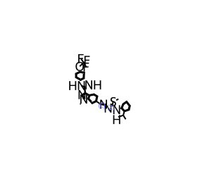 CS/C(=N\N=C\c1ccc2c(C(=N)Nc3ccc(OC(F)(F)F)cc3)nn(C)c2c1)Nc1ccccc1C(C)C